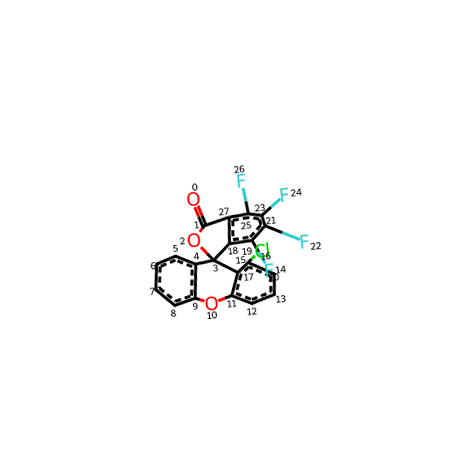 O=C1OC2(c3ccccc3Oc3cccc(Cl)c32)c2c(F)c(F)c(F)c(F)c21